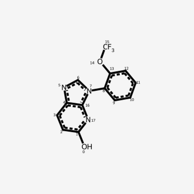 Oc1ccc2ncn(-c3ccccc3OC(F)(F)F)c2n1